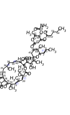 C/C=C/[C@H]1O[C@@](O)([C@@H](C)[C@H](O)[C@H](C)[C@H]2OC(=O)/C(OC)=C/C(C)=C/[C@@H](C)[C@@H](O)[C@@H](CC)[C@@H](O)[C@H](C)C/C(C)=C/C=C/[C@@H]2O)C[C@@H](O[C@@H]2C[C@H](OC(=O)CCCC)[C@@H](OC(N)=O)[C@H](C)O2)[C@@H]1C